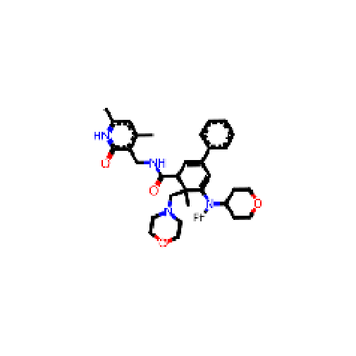 CCN(C1=CC(c2ccccc2)=CC(C(=O)NCc2c(C)cc(C)[nH]c2=O)C1(C)CN1CCOCC1)C1CCOCC1